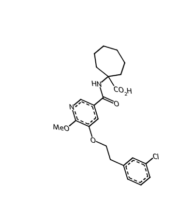 COc1ncc(C(=O)NC2(C(=O)O)CCCCCC2)cc1OCCc1cccc(Cl)c1